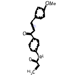 C=CC(=O)Nc1ccc(C(=O)/C=C/c2ccc(OC)cc2)cc1